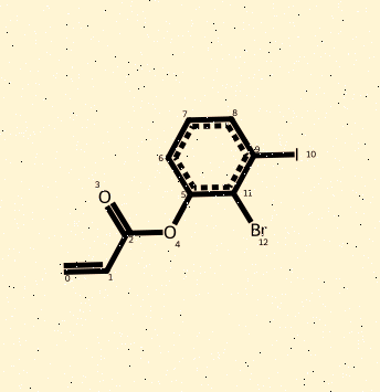 C=CC(=O)Oc1cccc(I)c1Br